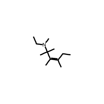 CC/C(C)=C(/C)C(C)(C)N(C)CC